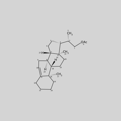 CC(=O)OC[C@@H](C)[C@H]1CC[C@H]2[C@@H]3CC=C4CCCC[C@]4(C)[C@H]3CC[C@]12C